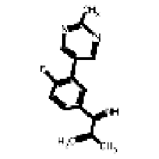 C=C(C)C(=N)c1ccc(F)c(-c2cnc(C)nc2)c1